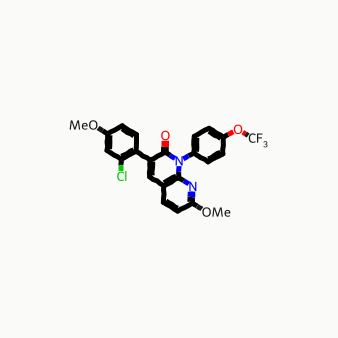 COc1ccc(-c2cc3ccc(OC)nc3n(-c3ccc(OC(F)(F)F)cc3)c2=O)c(Cl)c1